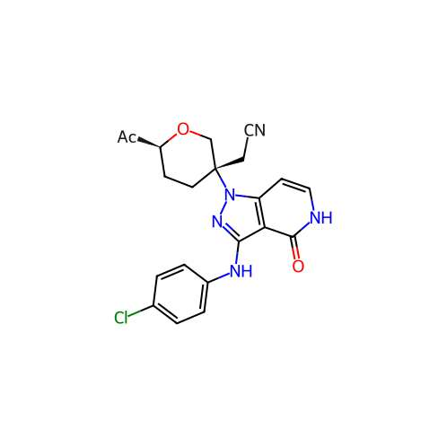 CC(=O)[C@@H]1CC[C@@](CC#N)(n2nc(Nc3ccc(Cl)cc3)c3c(=O)[nH]ccc32)CO1